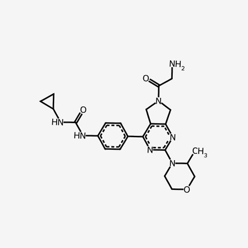 CC1COCCN1c1nc2c(c(-c3ccc(NC(=O)NC4CC4)cc3)n1)CN(C(=O)CN)C2